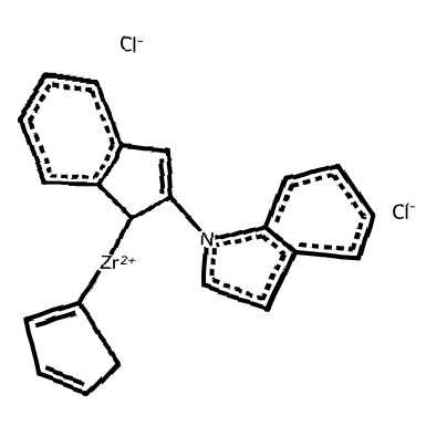 C1=CC[C]([Zr+2][CH]2C(n3ccc4ccccc43)=Cc3ccccc32)=C1.[Cl-].[Cl-]